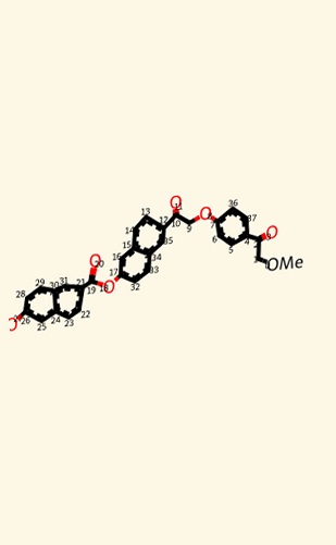 COCC(=O)c1ccc(OCC(=O)c2ccc3cc(OC(=O)c4ccc5cc(O)ccc5c4)ccc3c2)cc1